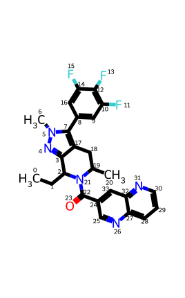 CCC1c2nn(C)c(-c3cc(F)c(F)c(F)c3)c2CC(C)N1C(=O)c1cnc2cccnc2c1